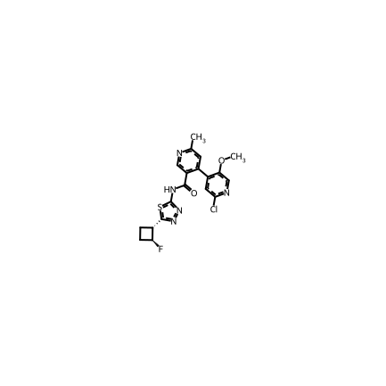 COc1cnc(Cl)cc1-c1cc(C)ncc1C(=O)Nc1nnc([C@H]2CC[C@@H]2F)s1